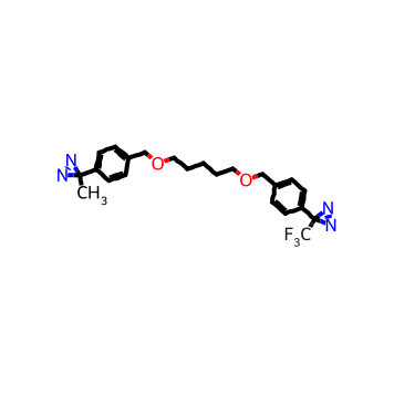 CC1(c2ccc(COCCCCCOCc3ccc(C4(C(F)(F)F)N=N4)cc3)cc2)N=N1